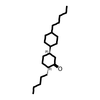 CCCCCC1CCC([C@@H]2CC[C@@H](CCCCC)C(=O)C2)CC1